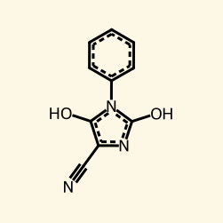 N#Cc1nc(O)n(-c2ccccc2)c1O